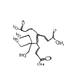 O=C(O)C=CC(C=CC(=O)O)=C(C=CC(=O)O)C(CO)(CO)CO